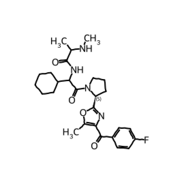 CNC(C)C(=O)NC(C(=O)N1CCC[C@H]1c1nc(C(=O)c2ccc(F)cc2)c(C)o1)C1CCCCC1